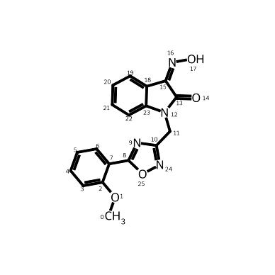 COc1ccccc1-c1nc(CN2C(=O)/C(=N\O)c3ccccc32)no1